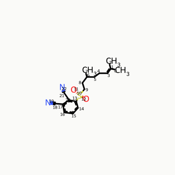 CC(C)=CCCC(C)CCS(=O)(=O)c1cccc(C#N)c1C#N